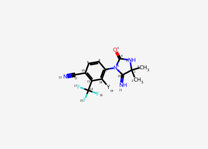 CC1(C)NC(=O)N(c2ccc(C#N)c(C(F)(F)F)[c]2[Y])C1=N